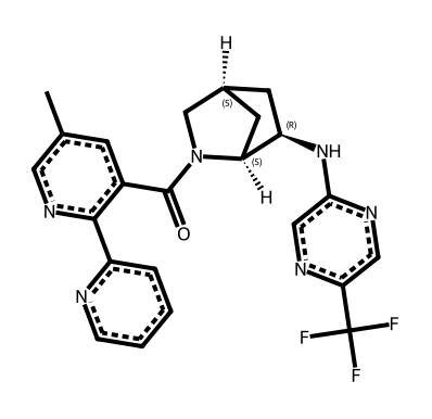 Cc1cnc(-c2ccccn2)c(C(=O)N2C[C@H]3C[C@@H](Nc4cnc(C(F)(F)F)cn4)[C@@H]2C3)c1